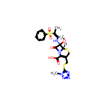 CO[C@@]1(NC=C(C)S(=O)(=O)c2ccccc2)C(=O)N2C(C(=O)O)=C(CSc3nnnn3C)CS[C@H]21